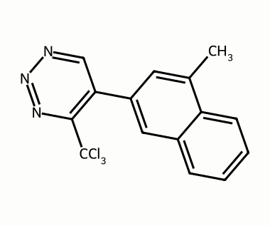 Cc1cc(-c2cnnnc2C(Cl)(Cl)Cl)cc2ccccc12